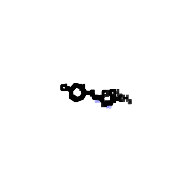 CC(=C\SC1=NCC(Cl)C=CC1)/N=C\N(C)C